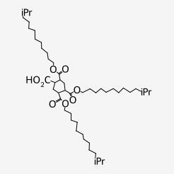 CC(C)CCCCCCCCCCOC(=O)C1CC(C(=O)OCCCCCCCCCCC(C)C)C(C(=O)OCCCCCCCCCCC(C)C)CC1C(=O)O